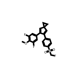 COc1c(F)cc(C2=CC3(C=C2c2ccc(S(=O)(=O)CF)cc2)CC3)cc1F